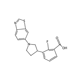 O=C(O)c1cccc(C2CCN(c3ccc4ncsc4c3)C2)c1F